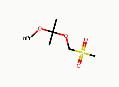 CCCOC(C)(C)OCS(C)(=O)=O